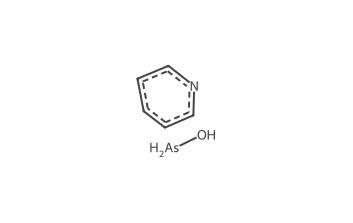 O[AsH2].c1ccncc1